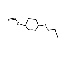 C=COC1CCC(OCCC)CC1